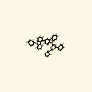 c1ccc(-c2nc(-c3ccccc3)nc(-n3c4ccccc4c4cc(-c5cccc6c5c5ncccc5n6-c5ccccc5)ccc43)n2)cc1